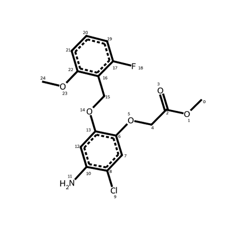 COC(=O)COc1cc(Cl)c(N)cc1OCc1c(F)cccc1OC